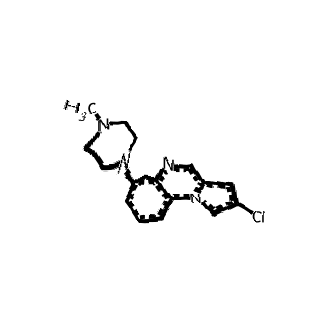 CN1CCN(c2cccc3c2ncc2cc(Cl)cn23)CC1